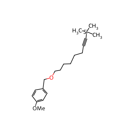 COc1ccc(COCCCCCCC#C[Si](C)(C)C)cc1